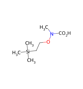 CN(OCC[Si](C)(C)C)C(=O)O